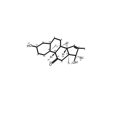 CC(=O)[C@@]1(O)C(C)=C[C@H]2[C@@H]3CCC4CC(O)CC[C@]4(C)[C@H]3C(=O)C[C@@]21C